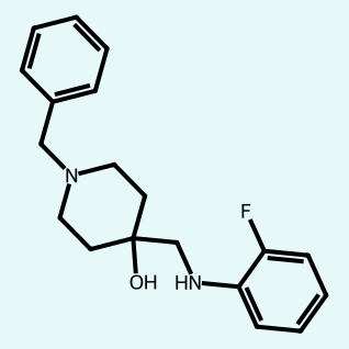 OC1(CNc2ccccc2F)CCN(Cc2ccccc2)CC1